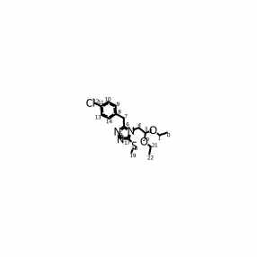 CCOC(Cn1c(Cc2ccc(Cl)cc2)nnc1SC)OCC